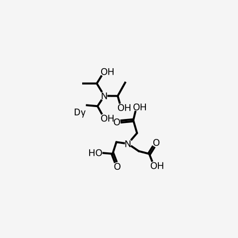 CC(O)N(C(C)O)C(C)O.O=C(O)CN(CC(=O)O)CC(=O)O.[Dy]